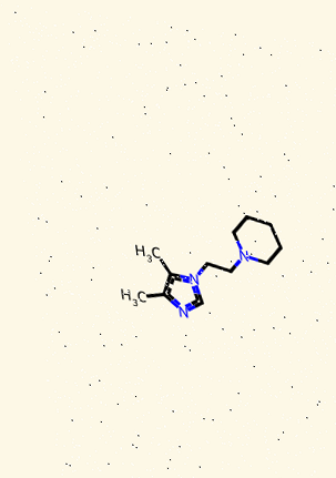 Cc1ncn(CCN2CCCCC2)c1C